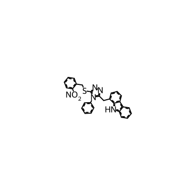 O=[N+]([O-])c1ccccc1CSc1nnc(Cc2cccc3c2[nH]c2ccccc23)n1-c1ccccc1